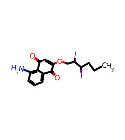 CCCC(I)C(I)COC1=CC(=O)c2c(N)cccc2C1=O